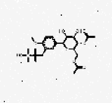 COc1ccc(C2O[C@H](COC(C)=O)[C@@H](OC(C)=O)[C@H](O)[C@@H]2O)cc1CC(C)(C)[Si](C)(C)O